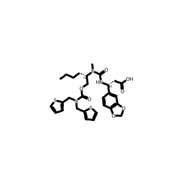 CCCC[C@@H](COC(=O)N(Cc1cccs1)Cc1cccs1)N(C)C(=O)N[C@H](CC(=O)O)c1ccc2c(c1)OCO2